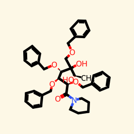 C[C@@H](O)C(O)(COCc1ccccc1)[C@@H](OCc1ccccc1)[C@H](OCc1ccccc1)[C@@H](OCc1ccccc1)C(=O)N1CCCCC1